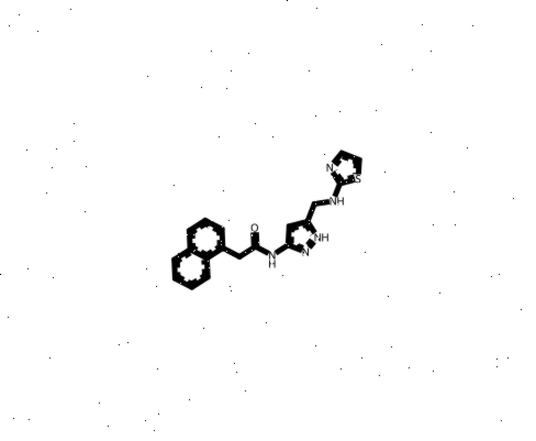 O=C(Cc1cccc2ccccc12)Nc1cc(CNc2nccs2)[nH]n1